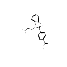 CNC(=O)c1ccc(-c2nc3ccccc3n2CC[C@H](C)N)cc1